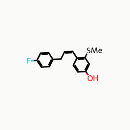 CSc1cc(O)ccc1/C=C\Cc1ccc(F)cc1